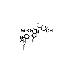 COc1nc(NC2CCC(C)(O)CC2)nn2cc(F)c(-c3ccc4nc(C)n(CCF)c4c3)c12